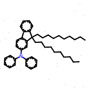 CCCCCCCCCCC1(CCCCCCCCCC)c2ccccc2-c2ccc(N(c3ccccc3)c3ccccc3)cc21